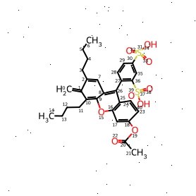 C=c1c(CCCC)cc2c(c1CCCC)Oc1cc(OC(C)=O)ccc1C=2c1ccc(S(=O)(=O)O)cc1S(=O)(=O)O